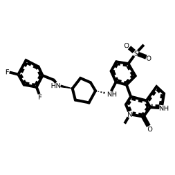 Cn1cc(-c2cc(S(C)(=O)=O)ccc2N[C@H]2CC[C@H](NCc3ccc(F)cc3F)CC2)c2cc[nH]c2c1=O